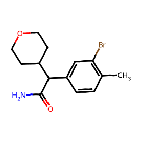 Cc1ccc(C(C(N)=O)C2CCOCC2)cc1Br